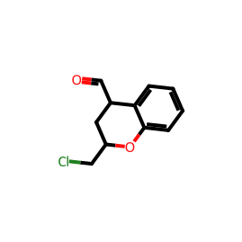 O=CC1CC(CCl)Oc2ccccc21